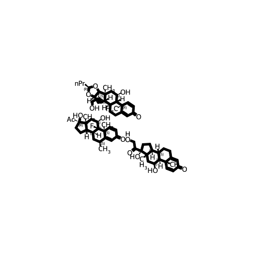 CC(=O)[C@@]1(O)CC[C@H]2[C@@H]3C[C@H](C)C4=CC(=O)C=C[C@]4(C)[C@@]3(F)[C@@H](O)C[C@@]21C.CCC[C@@H]1O[C@@H]2C[C@H]3[C@@H]4CCC5=CC(=O)C=C[C@]5(C)[C@H]4[C@@H](O)C[C@]3(C)[C@]2(C(=O)CO)O1.C[C@]12C=CC(=O)C=C1CC[C@@H]1[C@@H]2[C@@H](O)C[C@@]2(C)[C@H]1CC[C@]2(O)C(=O)CO